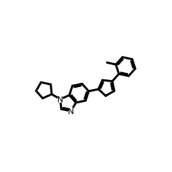 Cc1ccccc1C1=CCC(c2ccc3c(c2)ncn3C2CCCC2)=C1